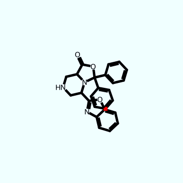 O=C1OC(c2ccccc2)(c2ccccc2)N2C1CNCC2c1nc2ccccc2o1